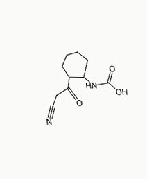 N#CCC(=O)C1CCCCC1NC(=O)O